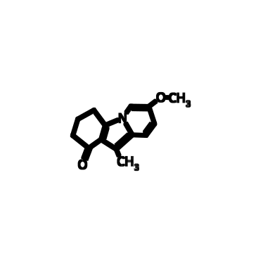 COc1ccc2c(C)c3c(n2c1)CCCC3=O